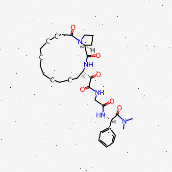 CN(C)C(=O)[C@@H](NC(=O)CNC(=O)C(=O)[C@@H]1CCCCCCCCCCCC(=O)N2CCC[C@H]2C(=O)N1)c1ccccc1